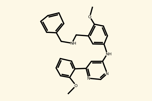 COc1ccc(Nc2cc(-c3ccccc3OC)ncn2)cc1CNCc1ccccc1